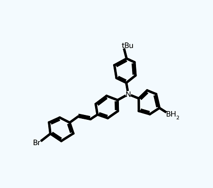 Bc1ccc(N(c2ccc(/C=C/c3ccc(Br)cc3)cc2)c2ccc(C(C)(C)C)cc2)cc1